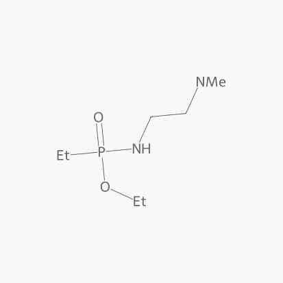 CCOP(=O)(CC)NCCNC